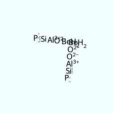 [Al+3].[Al+3].[BeH2].[BeH2].[O-2].[O-2].[O-2].[P].[P].[Si].[Si]